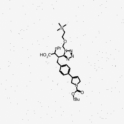 CCCC(C(=O)O)[C@H](Cc1ccc(C2=CCN(C(=O)OC(C)(C)C)C2)cc1)c1nnnn1COCC[Si](C)(C)C